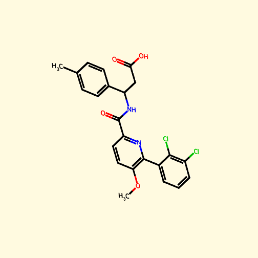 COc1ccc(C(=O)NC(CC(=O)O)c2ccc(C)cc2)nc1-c1cccc(Cl)c1Cl